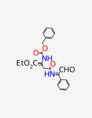 CCOC(=O)[C@H](CC(=O)N[C@H](C=O)c1ccccc1)NC(=O)OCc1ccccc1